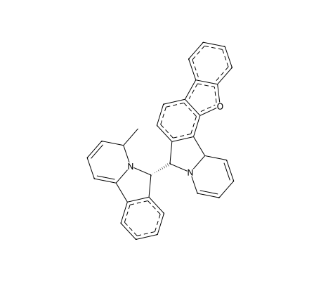 CC1C=CC=C2c3ccccc3[C@@H](C3c4ccc5c(oc6ccccc65)c4C4C=CC=CN43)N21